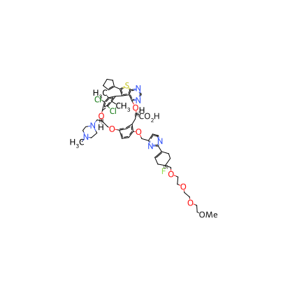 COCCOCCOCCOC[C@@]1(F)CC=C(c2nccc(COc3ccc4cc3C[C@H](C(=O)O)Oc3ncnc5sc(C6=CCCC6)c(c35)-c3c(C)c(Cl)c(c(Cl)c3C)O[C@H](CN3CCN(C)CC3)CO4)n2)CC1